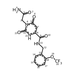 NC(=O)Cn1c(=O)cc(C(=O)NCc2ccccc2OC(F)(F)F)[nH]c1=O